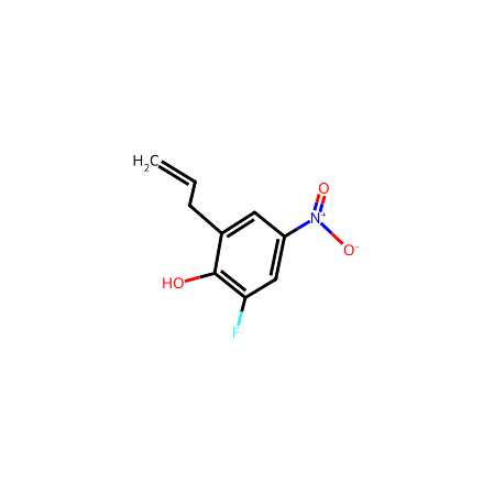 C=CCc1cc([N+](=O)[O-])cc(F)c1O